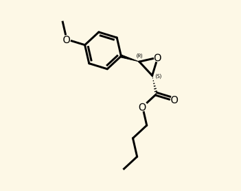 CCCCOC(=O)[C@H]1O[C@@H]1c1ccc(OC)cc1